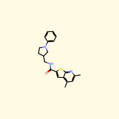 Cc1cc(C)c2cc(C(=O)NCC3CCN(c4ccccc4)C3)sc2n1